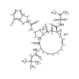 CN(C)S(=O)(=O)NC(=O)[C@@]12C[C@H]1/C=C\CCCCC[C@H](NC(=O)OC(C)(C)C)C(=O)N1C[C@H](OC(=O)N3Cc4cccc(F)c4C3)C[C@H]1C(=O)N2